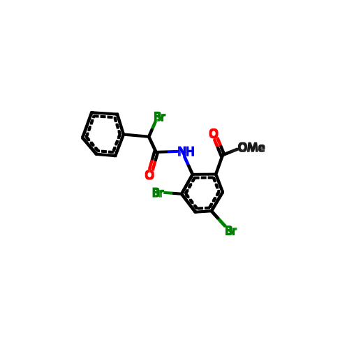 COC(=O)c1cc(Br)cc(Br)c1NC(=O)C(Br)c1ccccc1